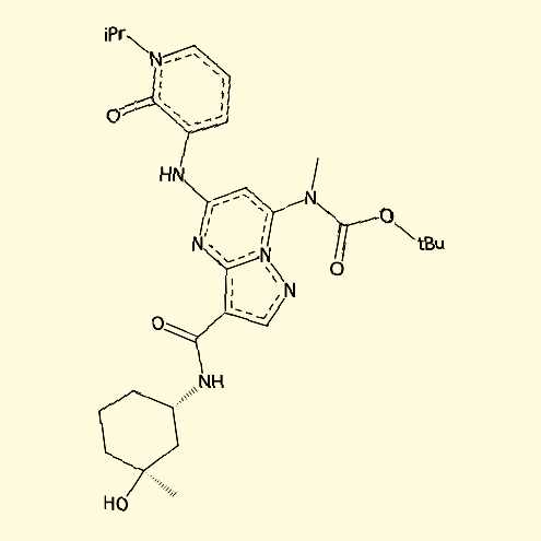 CC(C)n1cccc(Nc2cc(N(C)C(=O)OC(C)(C)C)n3ncc(C(=O)N[C@H]4CCC[C@](C)(O)C4)c3n2)c1=O